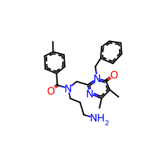 Cc1ccc(C(=O)N(CCCN)Cc2nc(C)c(C)c(=O)n2Cc2ccccc2)cc1